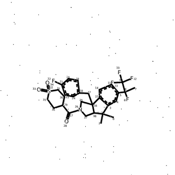 CC1(C)c2cc(C(C)(F)C(F)(F)F)ccc2C2(Cc3ccc(F)cc3)CN(C(=O)C3CCS(=O)(=O)CC3)CC12